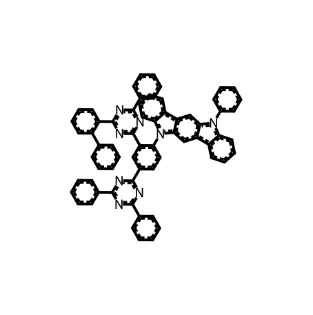 c1ccc(-c2nc(-c3ccccc3)nc(-c3ccc(-n4c5ccccc5c5cc6c(cc54)c4ccccc4n6-c4ccccc4)c(-c4nc(-c5ccccc5)nc(-c5ccccc5-c5ccccc5)n4)c3)n2)cc1